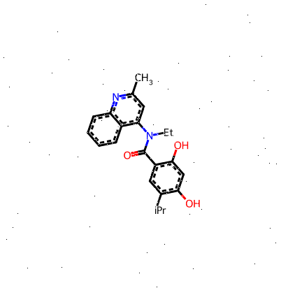 CCN(C(=O)c1cc(C(C)C)c(O)cc1O)c1cc(C)nc2ccccc12